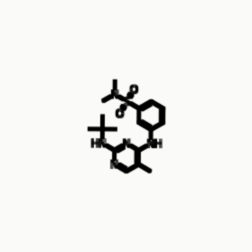 Cc1cnc(NC(C)(C)C)nc1Nc1cccc(S(=O)(=O)N(C)C)c1